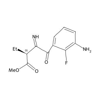 CC[C@@H](C(=N)C(=O)c1cccc(N)c1F)C(=O)OC